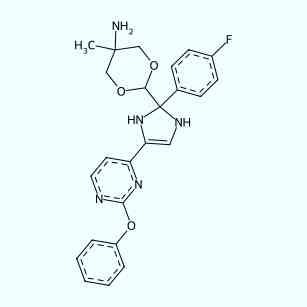 CC1(N)COC(C2(c3ccc(F)cc3)NC=C(c3ccnc(Oc4ccccc4)n3)N2)OC1